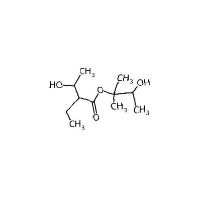 CCC(C(=O)OC(C)(C)C(C)O)C(C)O